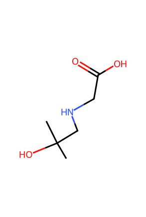 CC(C)(O)CNCC(=O)O